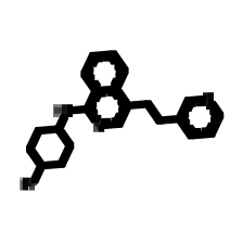 CC(C)C1CCC(Nc2ncc(CCc3cccnc3)c3ccccc23)CC1